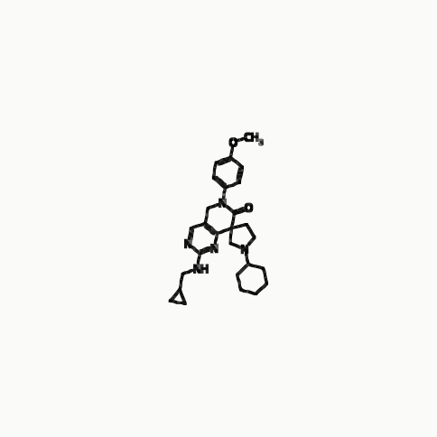 COc1ccc(N2Cc3cnc(NCC4CC4)nc3C3(CCN(C4CCCCC4)C3)C2=O)cc1